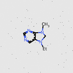 CCN1CN(C)c2ncncc21